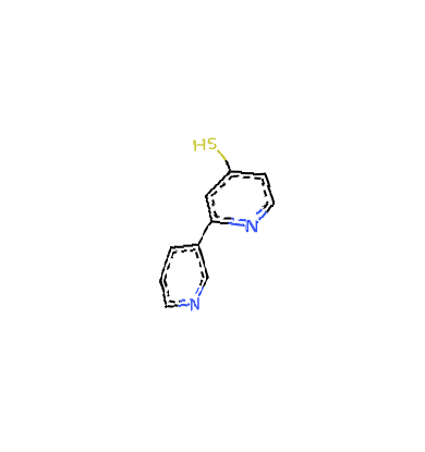 Sc1ccnc(-c2cccnc2)c1